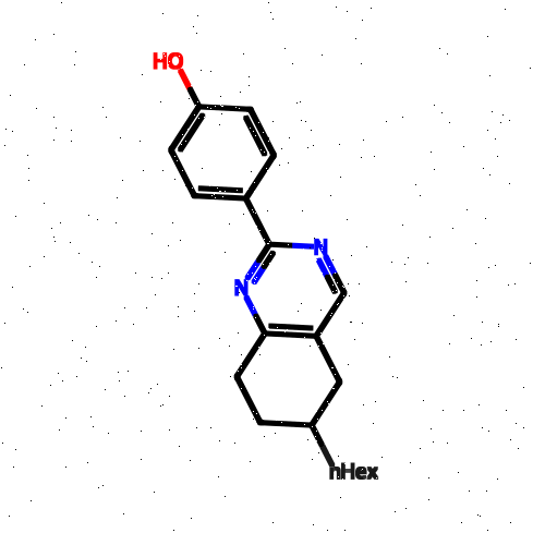 CCCCCCC1CCc2nc(-c3ccc(O)cc3)ncc2C1